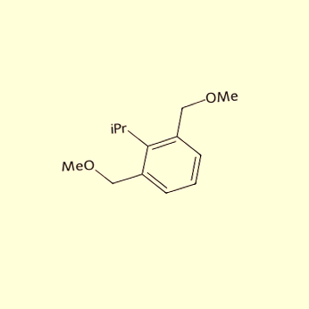 COCc1cccc(COC)c1C(C)C